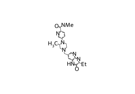 CCc1nc2ncc(CN3CCN(c4ccc(C(=O)NC)nc4)[C@H](C)C3)cc2[nH]c1=O